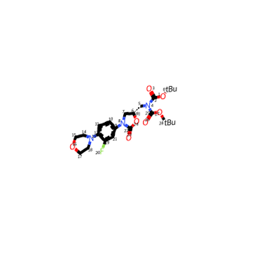 CC(C)(C)OC(=O)N(C[C@H]1CN(c2ccc(N3CCOCC3)c(F)c2)C(=O)O1)C(=O)OC(C)(C)C